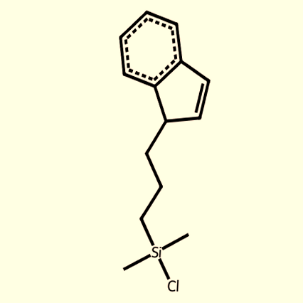 C[Si](C)(Cl)CCCC1C=Cc2ccccc21